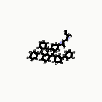 C=C/C(C)=C\C=C(/C)c1ccc2c(c1)N(c1cccc(-c3ccccc3)c1)c1cccc3c1B2c1ccccc1N3c1ccccc1